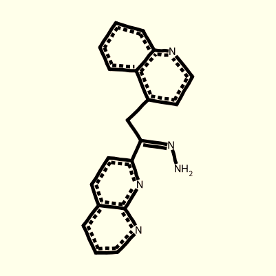 NN=C(Cc1ccnc2ccccc12)c1ccc2cccnc2n1